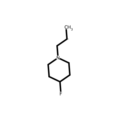 C[CH]CN1CCC(F)CC1